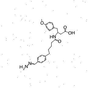 COc1ccc(CC(CC(=O)O)NC(=O)CCCCc2ccc(C=NN)cc2)cc1